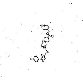 O=C(OCC1CCNCC1)N1CCC(F)(CNC2CC2c2cnc(-c3ccc(F)cc3)s2)CC1